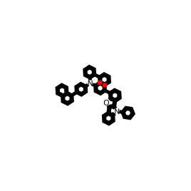 c1ccc(-c2ccccc2N(c2ccc(-c3cccc4ccccc34)cc2)c2ccc(-c3cccc4c3oc3c5ccccc5n(-c5ccccc5)c43)cc2)cc1